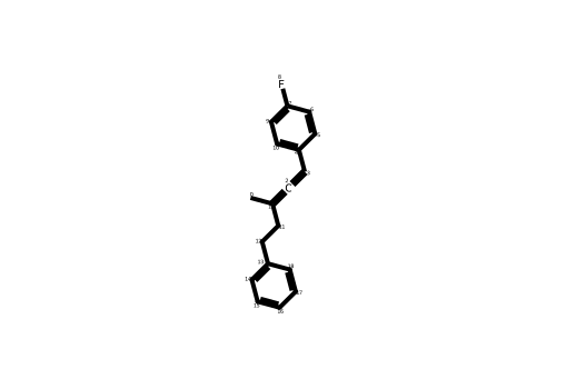 CC(=C=Cc1ccc(F)cc1)CCc1ccccc1